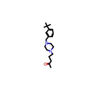 CC(=O)CCCN1CCN(Cc2cccc(C(C)(C)C)c2)CC1